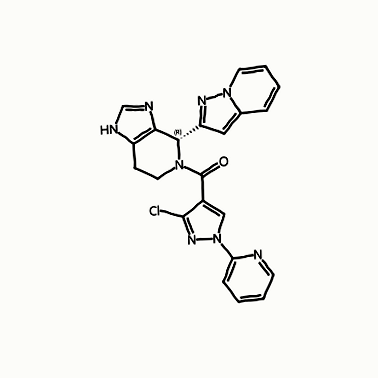 O=C(c1cn(-c2ccccn2)nc1Cl)N1CCc2[nH]cnc2[C@@H]1c1cc2ccccn2n1